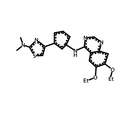 CCOc1cc2ncnc(Nc3cccc(-c4csc(N(C)C)n4)c3)c2cc1OCC